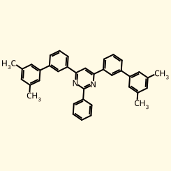 Cc1cc(C)cc(-c2cccc(-c3cc(-c4cccc(-c5cc(C)cc(C)c5)c4)nc(-c4ccccc4)n3)c2)c1